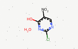 O.O=[N+]([O-])c1cnc(Cl)nc1O